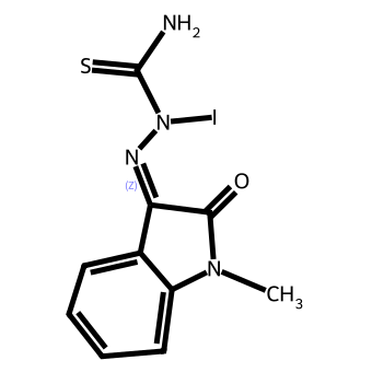 CN1C(=O)/C(=N\N(I)C(N)=S)c2ccccc21